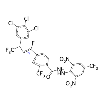 O=C(NNc1c([N+](=O)[O-])cc(C(F)(F)F)cc1[N+](=O)[O-])c1ccc(/C(F)=C/C(c2cc(Cl)c(Cl)c(Cl)c2)C(F)(F)F)cc1C(F)(F)F